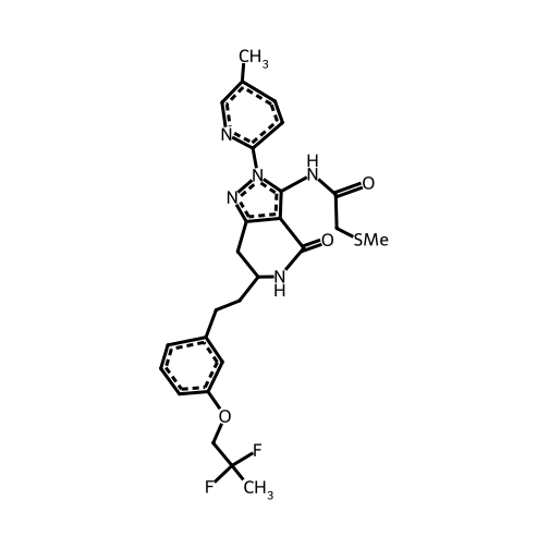 CSCC(=O)Nc1c2c(nn1-c1ccc(C)cn1)CC(CCc1cccc(OCC(C)(F)F)c1)NC2=O